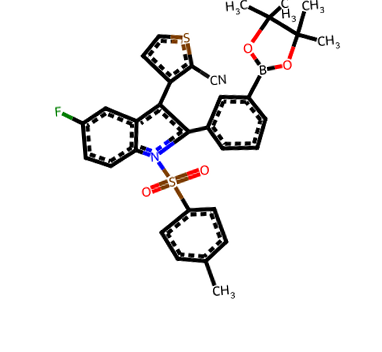 Cc1ccc(S(=O)(=O)n2c(-c3cccc(B4OC(C)(C)C(C)(C)O4)c3)c(-c3ccsc3C#N)c3cc(F)ccc32)cc1